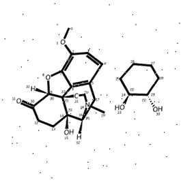 COc1ccc2c3c1O[C@H]1C(=O)CC[C@@]4(O)[C@@H](C2)N(C)CC[C@]314.O[C@H]1CCCC[C@@H]1O